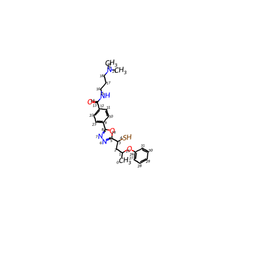 CC(CC(S)c1nnc(-c2ccc(C(=O)NCCCN(C)C)cc2)o1)Oc1ccccc1